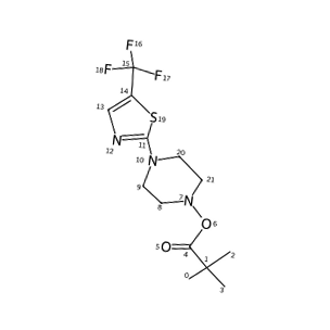 CC(C)(C)C(=O)ON1CCN(c2ncc(C(F)(F)F)s2)CC1